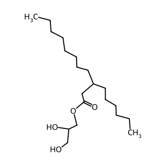 CCCCCCCCC(CCCCCC)CC(=O)OCC(O)CO